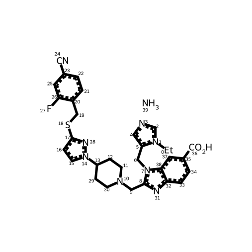 CCn1cncc1Cn1c(CN2CCC(n3ccc(SCc4ccc(C#N)cc4F)n3)CC2)nc2ccc(C(=O)O)cc21.N